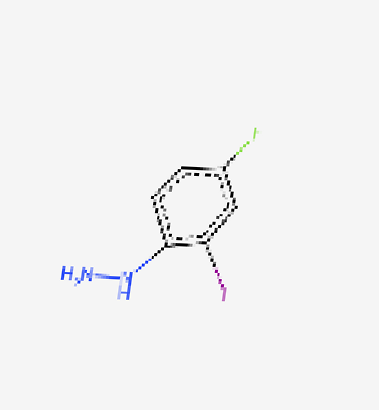 NNc1ccc(F)cc1I